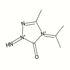 CC1=N[N+](=N)C(=O)[N+]1=C(C)C